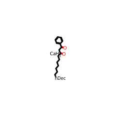 CCCCCCCCCCCCCCCCCC(=O)CC(=O)c1ccccc1.[CaH2]